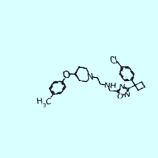 Cc1ccc(OC2CCN(CCNCc3nc(C4(c5ccc(Cl)cc5)CCC4)no3)CC2)cc1